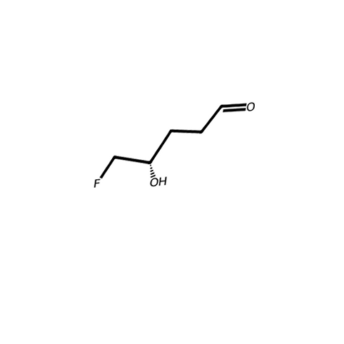 O=CCC[C@H](O)CF